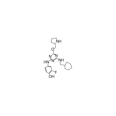 Oc1ccc(Nc2nc(NCC3CCCCC3)nc(OCC3CCCN3)n2)cc1F